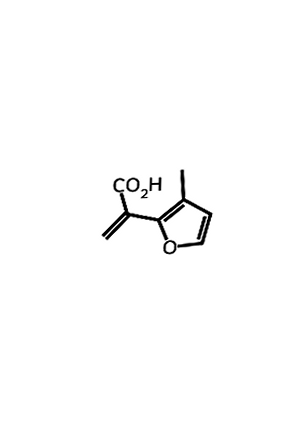 C=C(C(=O)O)c1occc1C